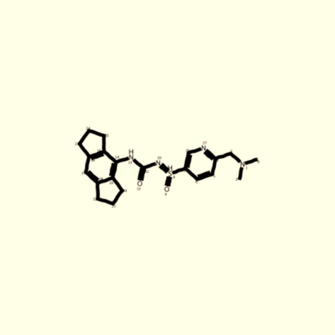 CN(C)Cc1ccc(/[SH](=O)=N/C(=O)Nc2c3c(cc4c2CCC4)CCC3)cn1